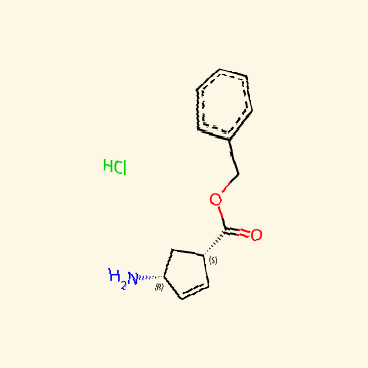 Cl.N[C@H]1C=C[C@@H](C(=O)OCc2ccccc2)C1